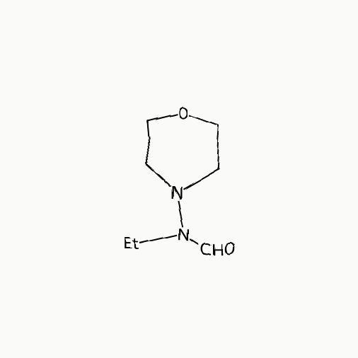 CCN(C=O)N1CCOCC1